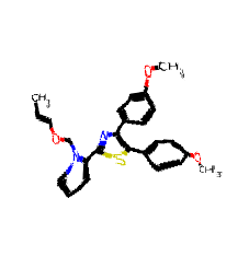 CCCOCn1cccc1-c1nc(-c2ccc(OC)cc2)c(-c2ccc(OC)cc2)s1